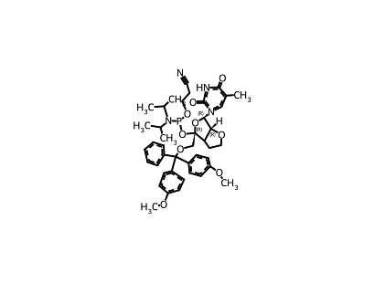 COc1ccc(C(OC[C@@]2(OP(OCCC#N)N(C(C)C)C(C)C)O[C@@H](n3cc(C)c(=O)[nH]c3=O)[C@@H]3OCCC32)(c2ccccc2)c2ccc(OC)cc2)cc1